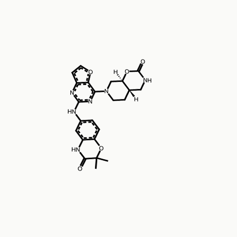 CC1(C)Oc2ccc(Nc3nc(N4CC[C@H]5CNC(=O)O[C@@H]5C4)c4occc4n3)cc2NC1=O